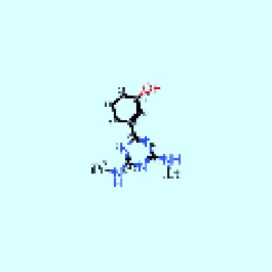 CCNc1nc(NC(C)C)nc(C2=C=C(O)CCC2)n1